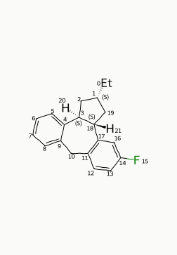 CC[C@H]1C[C@@H]2c3ccccc3Cc3ccc(F)cc3[C@H]2C1